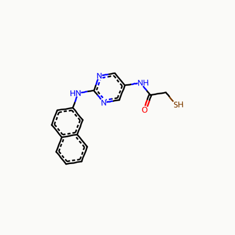 O=C(CS)Nc1cnc(Nc2ccc3ccccc3c2)nc1